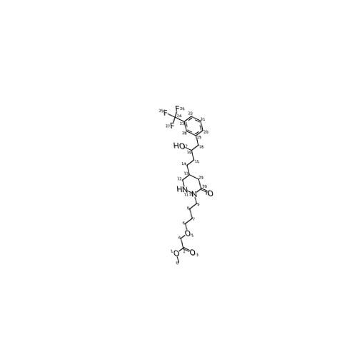 COC(=O)COCCCCN1NCC(CCC(O)Cc2cccc(C(F)(F)F)c2)CC1=O